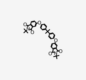 CC(C)(c1ccc(Oc2ccc3c(c2)C(=O)N(C(C)(C)C)C3=O)cc1)c1ccc(Oc2ccc3c(c2)C(=O)N(C(C)(C)C)C3=O)cc1